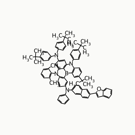 Cc1cccc(C)c1N1c2ccc(N(c3ccccc3)c3ccc4cc(-c5cc6ccccc6o5)ccc4c3)cc2B2c3cc(C(C)(C)C)ccc3N(c3ccc(C(C)(C)C)cc3)c3cc(N(c4ccc(C(C)(C)C)cc4)c4ccc(C(C)(C)C)cc4)cc1c32